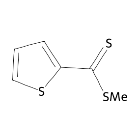 CSC(=S)c1cccs1